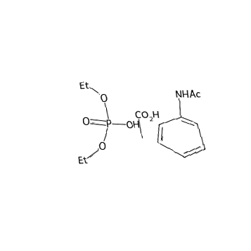 CC(=O)Nc1ccccc1.CC(=O)O.CCOP(=O)(O)OCC